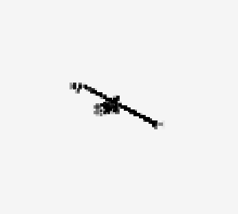 CCCCC=CCCCCCCCC(=O)C(CCCCCCC=CCCCCCCCC)C(=O)PNC(CO)C(=O)O